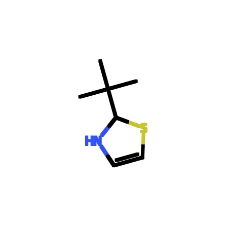 CC(C)(C)C1NC=CS1